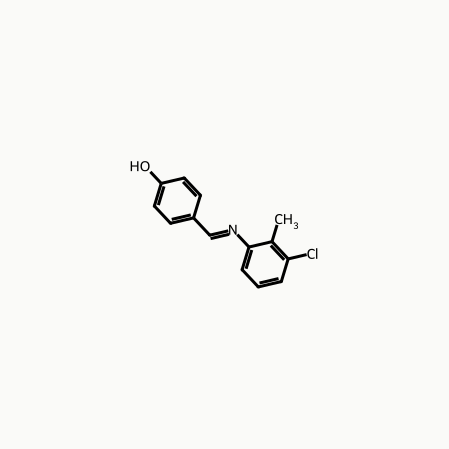 Cc1c(Cl)cccc1N=Cc1ccc(O)cc1